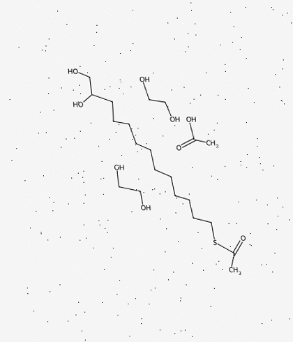 CC(=O)O.CC(=O)SCCCCCCCCCCCC(O)CO.OCCO.OCCO